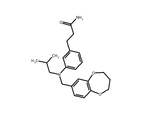 CC(C)CN(Cc1ccc2c(c1)OCCCO2)c1cccc(CCC(N)=O)c1